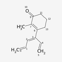 C=C/C=C(\C=C)C1=C(C)C(=O)CCC1